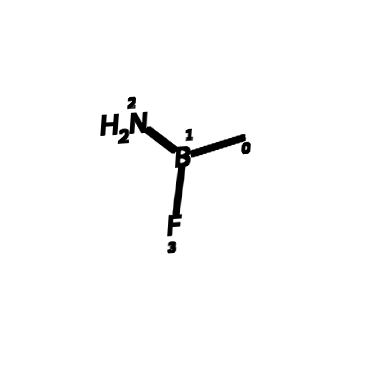 CB(N)F